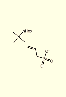 C=CCS(=O)(=O)[O-].CCCCCC[N+](C)(C)C